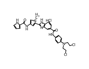 Cl.Cn1cc(NC(=O)c2ccc[nH]2)cc1-c1nc2cc(C(=O)Nc3ccc(N(CCCl)CCCl)cc3)ccc2[nH]1